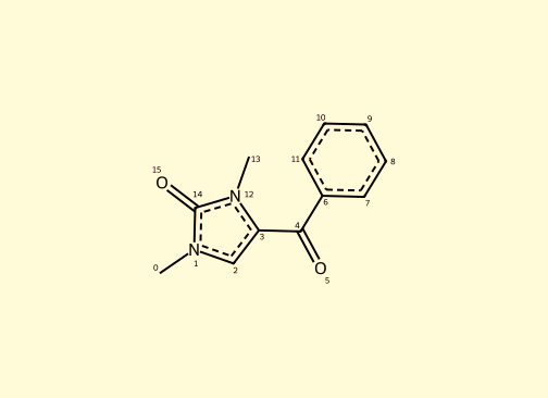 Cn1cc(C(=O)c2ccccc2)n(C)c1=O